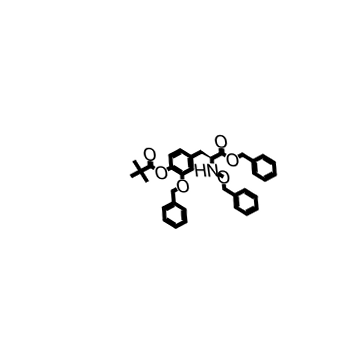 CC(C)(C)C(=O)Oc1ccc(C[C@H](NOCc2ccccc2)C(=O)OCc2ccccc2)cc1OCc1ccccc1